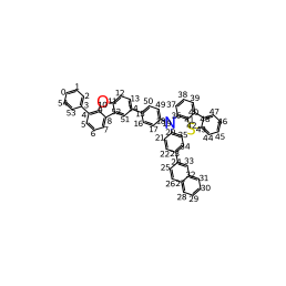 c1ccc(-c2cccc3c2oc2ccc(-c4ccc(N(c5ccc(-c6ccc7ccccc7c6)cc5)c5cccc6c5sc5ccccc56)cc4)cc23)cc1